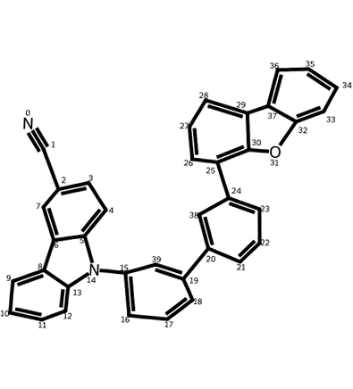 N#Cc1ccc2c(c1)c1ccccc1n2-c1cccc(-c2cccc(-c3cccc4c3oc3ccccc34)c2)c1